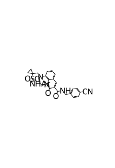 CC(=O)NS(=O)(=O)C1(CN2CCn3c(=O)c(C(=O)NCc4ccc(C#N)cc4)cc4cccc2c43)CC1